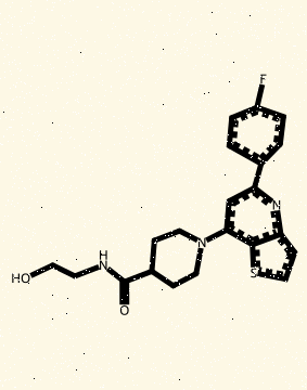 O=C(NCCO)C1CCN(c2cc(-c3ccc(F)cc3)nc3ccsc23)CC1